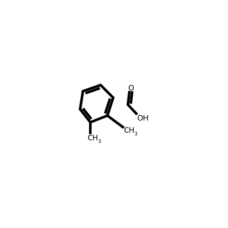 Cc1ccccc1C.O=CO